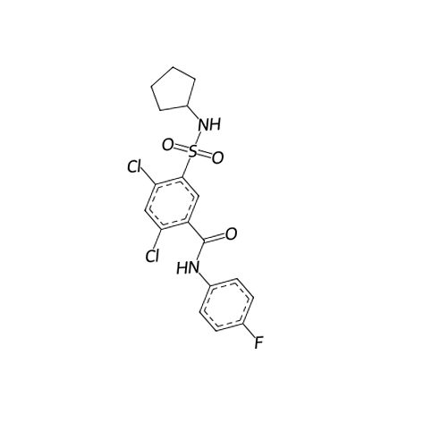 O=C(Nc1ccc(F)cc1)c1cc(S(=O)(=O)NC2CCCC2)c(Cl)cc1Cl